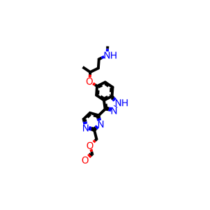 CNCCC(C)Oc1ccc2[nH]nc(-c3ccnc(COC=O)n3)c2c1